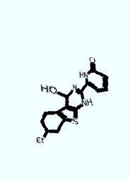 CCC1CCc2c(sc3c2C(O)N=C(c2cccc(=O)[nH]2)N3)C1